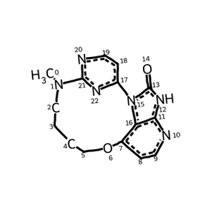 CN1CCCCOc2ccnc3[nH]c(=O)n(c23)-c2ccnc1n2